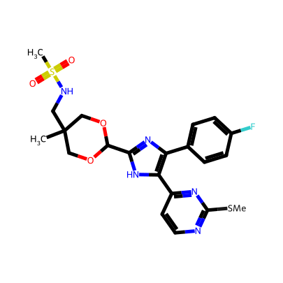 CSc1nccc(-c2[nH]c(C3OCC(C)(CNS(C)(=O)=O)CO3)nc2-c2ccc(F)cc2)n1